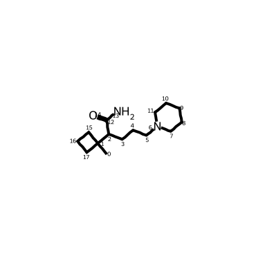 CC1(C(CCCN2CCCCC2)C(N)=O)CCC1